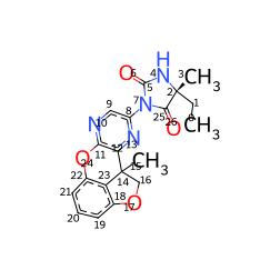 CC[C@@]1(C)NC(=O)N(c2cnc3c(n2)C2(C)COc4cccc(c42)O3)C1=O